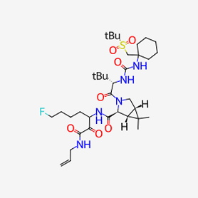 C=CCNC(=O)C(=O)C(CCCCF)NC(=O)[C@@H]1[C@@H]2[C@H](CN1C(=O)[C@@H](NC(=O)NC1(CS(=O)(=O)C(C)(C)C)CCCCC1)C(C)(C)C)C2(C)C